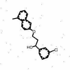 Cc1cccc2cc(OCCC(O)c3cccc(Cl)c3)ccc12